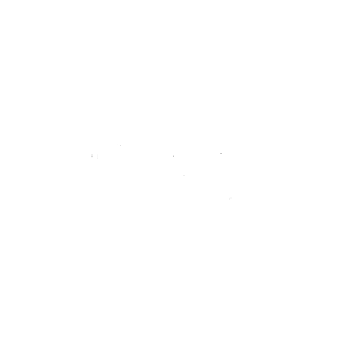 CCC(C)C(=O)OC1(C)CC2CC1C1CC[C@H]21